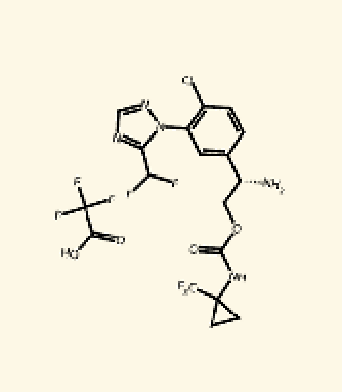 N[C@H](COC(=O)NC1(C(F)(F)F)CC1)c1ccc(Cl)c(-n2ncnc2C(F)F)c1.O=C(O)C(F)(F)F